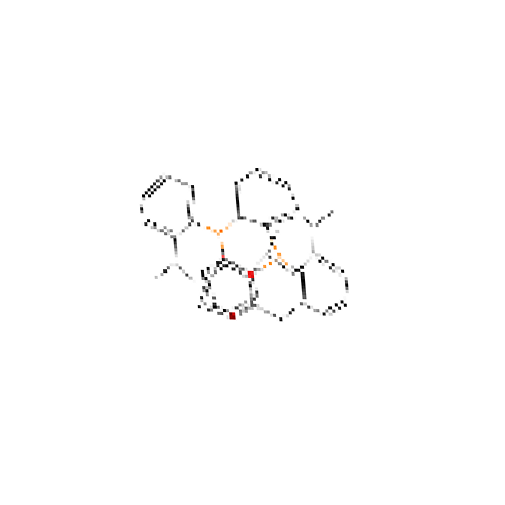 CC(C)c1ccccc1P(c1ccccc1C(C)C)c1ccccc1P(c1ccccc1C(C)C)c1ccccc1C(C)C